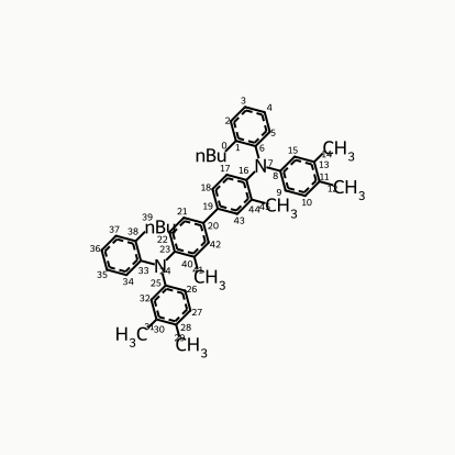 CCCCc1ccccc1N(c1ccc(C)c(C)c1)c1ccc(-c2ccc(N(c3ccc(C)c(C)c3)c3ccccc3CCCC)c(C)c2)cc1C